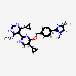 COc1ncnc(C2CC2)c1-c1ncc(C2CC2)c(OCc2ccc(-c3nc(C(F)(F)F)cn3C)cc2)n1